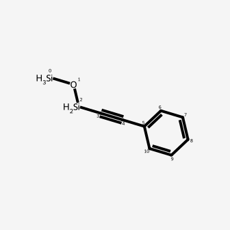 [SiH3]O[SiH2]C#Cc1ccccc1